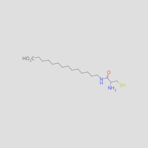 NC(CS)C(=O)NCCCCCCCCCCCCCC(=O)O